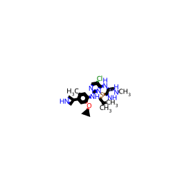 CN/C=C(/Nc1nc(Nc2cc(C)c(C3CNC3)cc2OC2CC2)ncc1Cl)C(=N)SCC(C)C